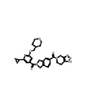 O=C(c1cc(OCC2CCOCC2)nc(C2CC2)c1)N1Cc2ccc(C(=O)N3CCc4[nH]nnc4C3)cc2C1